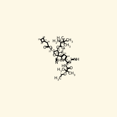 CCOC(C)(C)C(=O)N/C(=N/C=N)c1ccc([C@]2(C#N)O[C@H](COC(=O)CC3CCC3)[C@@H](OC(=O)[C@H](N)C(C)(C)C)[C@H]2F)[nH]1